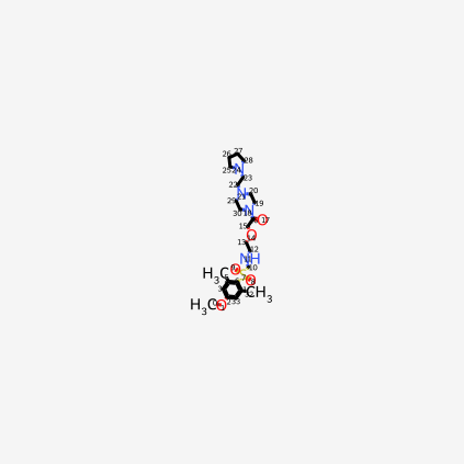 COc1cc(C)c(S(=O)(=O)CNCCOCC(=O)N2CCN(CCN3CCCC3)CC2)c(C)c1